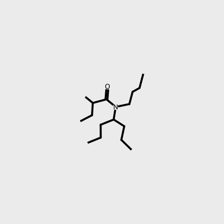 CCCCN(C(=O)C(C)CC)C(CCC)CCC